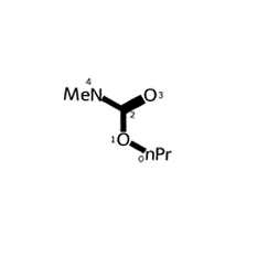 [CH2]CCOC(=O)NC